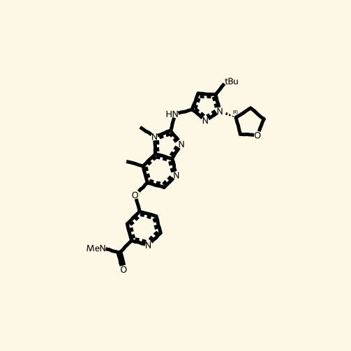 CNC(=O)c1cc(Oc2cnc3nc(Nc4cc(C(C)(C)C)n([C@@H]5CCOC5)n4)n(C)c3c2C)ccn1